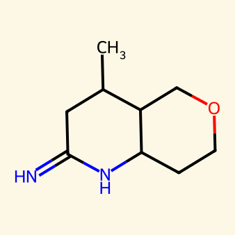 CC1CC(=N)NC2CCOCC12